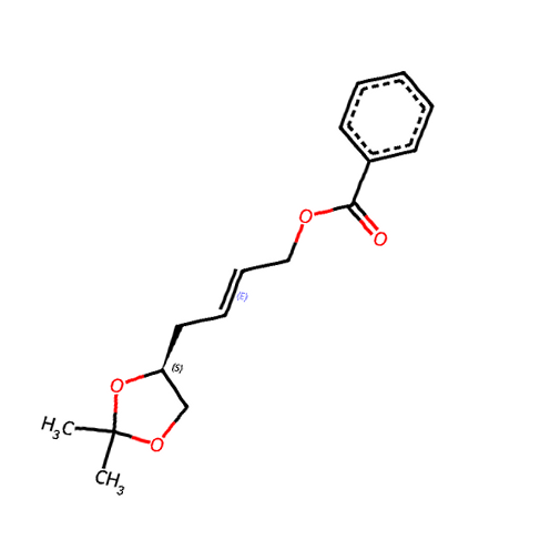 CC1(C)OC[C@H](C/C=C/COC(=O)c2ccccc2)O1